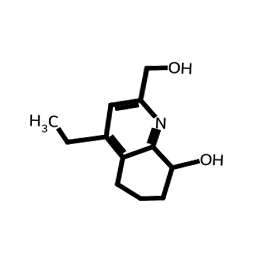 CCc1cc(CO)nc2c1CCCC2O